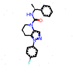 C[C@H](NC(=O)N1CCCc2c1cnn2-c1ccc(F)cc1)c1ccccc1